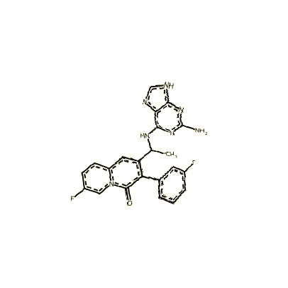 CC(Nc1nc(N)nc2[nH]cnc12)c1cc2ccc(F)cn2c(=O)c1-c1cccc(F)c1